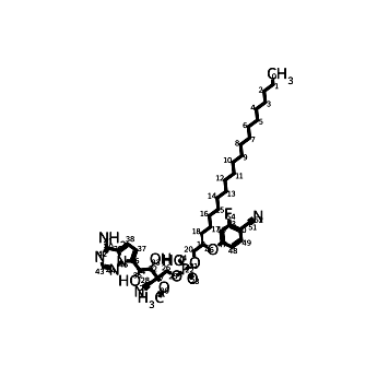 CCCCCCCCCCCCCCCCCCC[C@H](COP(=O)(O)OCC(C#N)(OC)[C@@H](O)[C@@H](O)c1ccc2c(N)ncnn12)Oc1ccc(C#N)c(F)c1